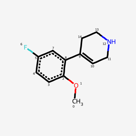 COc1ccc(F)cc1C1=CCNCC1